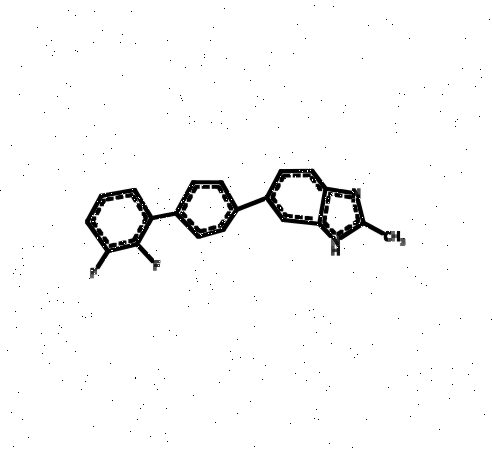 Cc1nc2ccc(-c3ccc(-c4cccc(F)c4F)cc3)cc2[nH]1